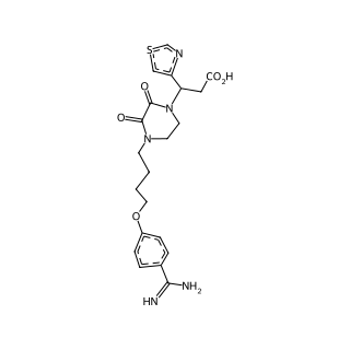 N=C(N)c1ccc(OCCCCN2CCN(C(CC(=O)O)c3cscn3)C(=O)C2=O)cc1